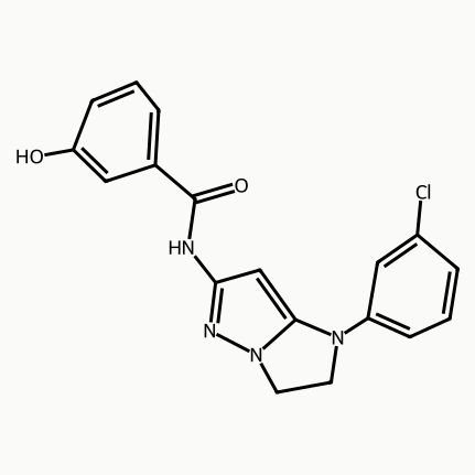 O=C(Nc1cc2n(n1)CCN2c1cccc(Cl)c1)c1cccc(O)c1